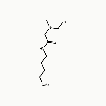 COCCCCNC(=O)CN(C)CC(C)C